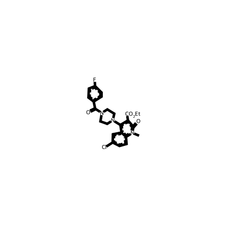 CCOC(=O)c1c(N2CCN(C(=O)c3ccc(F)cc3)CC2)c2cc(Cl)ccc2n(C)c1=O